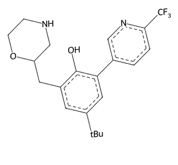 CC(C)(C)c1cc(CC2CNCCO2)c(O)c(-c2ccc(C(F)(F)F)nc2)c1